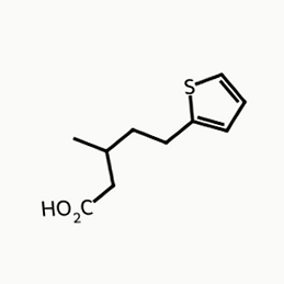 CC(CCc1cccs1)CC(=O)O